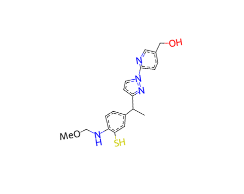 COCNc1ccc(C(C)c2ccn(-c3ccc(CO)cn3)n2)cc1S